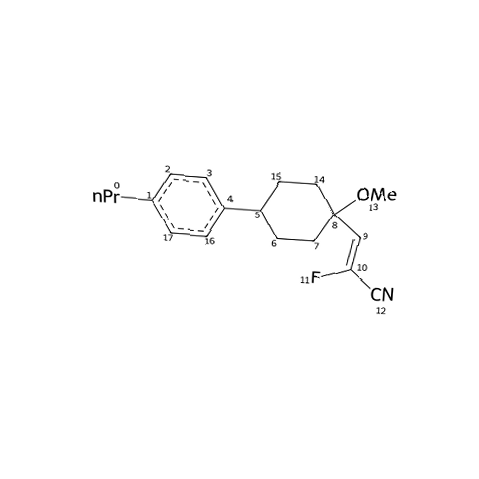 CCCc1ccc(C2CCC(C=C(F)C#N)(OC)CC2)cc1